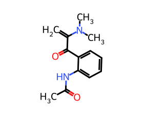 C=C(C(=O)c1ccccc1NC(C)=O)N(C)C